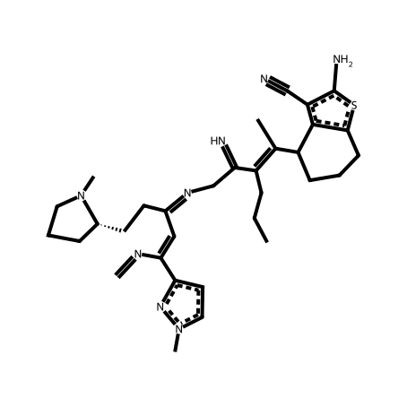 C=N/C(=C\C(CC[C@@H]1CCCN1C)=N/CC(=N)/C(CCC)=C(\C)C1CCCc2sc(N)c(C#N)c21)c1ccn(C)n1